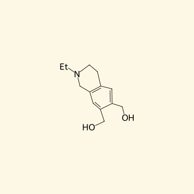 CCN1CCc2cc(CO)c(CO)cc2C1